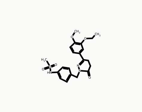 CCOc1cc(C2=NN(Cc3ccc(NS(C)(=O)=O)cc3)C(=O)CC2)ccc1OC